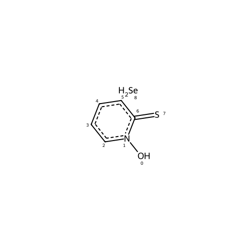 On1ccccc1=S.[SeH2]